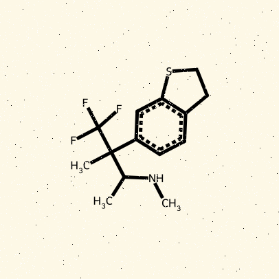 CNC(C)C(C)(c1ccc2c(c1)SCC2)C(F)(F)F